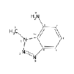 Cn1nnc2cccc(N)c21